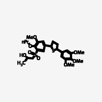 CCCOc1c(OC)cc(C2CCC(c3cc(OC)c(OC)c(OC)c3)S2)cc1S(=O)(=O)CC(C)O